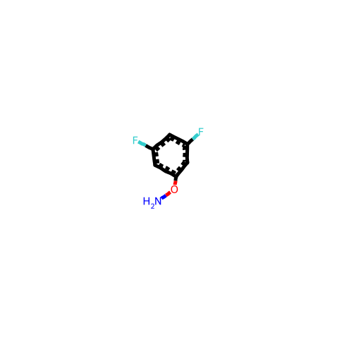 NOc1cc(F)cc(F)c1